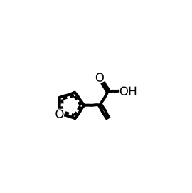 C=C(C(=O)O)c1ccoc1